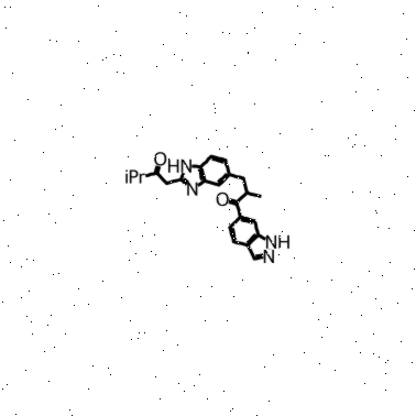 CC(C)C(=O)Cc1nc2cc(CC(C)C(=O)c3ccc4cn[nH]c4c3)ccc2[nH]1